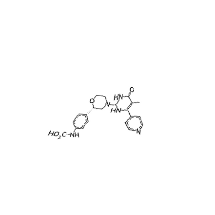 CC1=C(c2ccncc2)NC(N2CCO[C@@H](c3ccc(NC(=O)O)cc3)C2)NC1=O